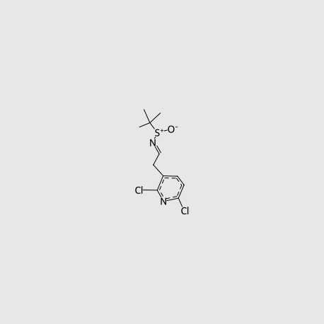 CC(C)(C)[S+]([O-])N=CCc1ccc(Cl)nc1Cl